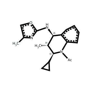 CC(=O)N1c2ccccc2[C@H](Nc2nc(C)co2)[C@@H](C)[C@@H]1C1CC1